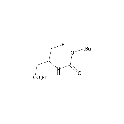 CCOC(=O)CC(CF)NC(=O)OC(C)(C)C